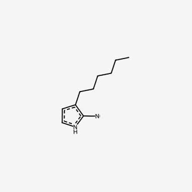 CCCCCCc1cc[nH]c1[N]